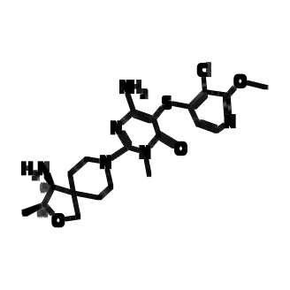 COc1nccc(Sc2c(N)nc(N3CCC4(CC3)CO[C@@H](C)[C@H]4N)n(C)c2=O)c1Cl